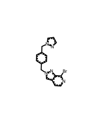 Brc1nccc2cn(Cc3ccc(Cn4cccn4)cc3)nc12